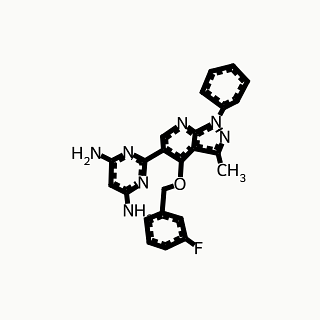 Cc1nn(-c2ccccc2)c2ncc(-c3nc(N)cc(N)n3)c(OCc3cccc(F)c3)c12